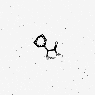 C[CH]CCCC(C(N)=O)c1ccccc1